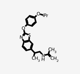 C=C(C)NCC(C)c1ccc2nc(Oc3ccc(OC(C)C)cc3)sc2c1